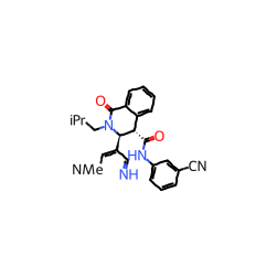 CN/C=C(\C=N)[C@@H]1[C@@H](C(=O)Nc2cccc(C#N)c2)c2ccccc2C(=O)N1CC(C)C